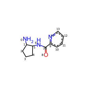 NC1CCCC1NC(=O)c1ccccn1